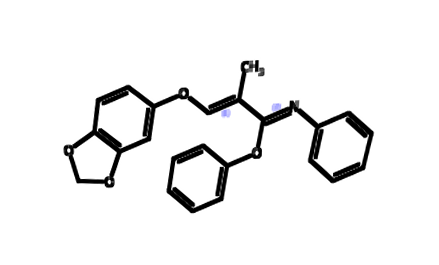 CC(=C\Oc1ccc2c(c1)OCO2)/C(=N/c1ccccc1)Oc1ccccc1